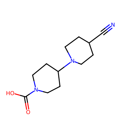 N#CC1CCN(C2CCN(C(=O)O)CC2)CC1